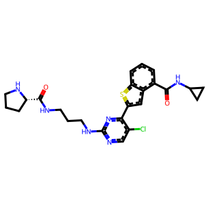 O=C(NC1CC1)c1cccc2sc(-c3nc(NCCCNC(=O)[C@@H]4CCCN4)ncc3Cl)cc12